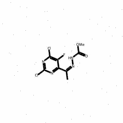 COC(=O)N/N=C(/C)c1nc(Cl)nc(Cl)c1F